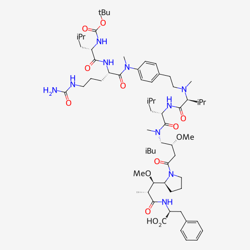 CC[C@H](C)[C@@H]([C@@H](CC(=O)N1CCC[C@H]1[C@H](OC)[C@@H](C)C(=O)N[C@@H](Cc1ccccc1)C(=O)O)OC)N(C)C(=O)[C@H](CC(C)C)NC(=O)[C@H](C(C)C)N(C)CCc1ccc(N(C)C(=O)[C@H](CCCNC(N)=O)NC(=O)[C@H](CC(C)C)NC(=O)OC(C)(C)C)cc1